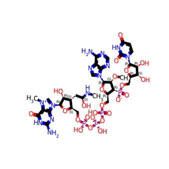 CN[C@@H](O)C[C@H]1[C@@H](O)[C@H](n2c[n+](C)c3c(=O)[nH]c(N)nc32)O[C@@H]1COP(=O)(O)OP(=O)(O)OP(=O)(O)OC[C@H]1O[C@@H](n2cnc3c(N)ncnc32)[C@H](OC)[C@@H]1P(=O)([O-])OC[C@H]1O[C@@H](n2ccc(=O)[nH]c2=O)[C@H](O)[C@@H]1O